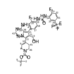 CC(C)(C)OC(=O)N1CC=C(c2c(CO)c(-c3ccc(NC(=O)Nc4cc(C(F)(F)F)ccc4F)c(F)c3)c3c(N)ncnn23)CC1